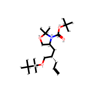 C=CC[C@H](CO[Si](C)(C)C(C)(C)C)CC1COC(C)(C)N1C(=O)OC(C)(C)C